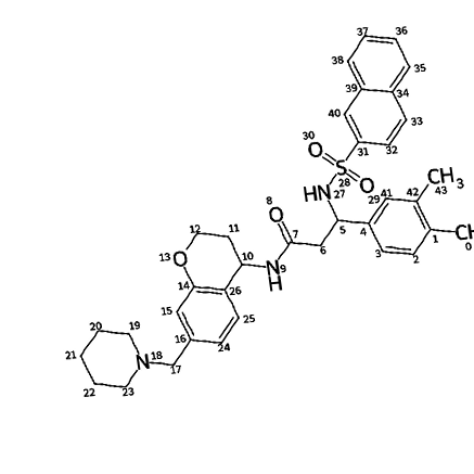 Cc1ccc(C(CC(=O)NC2CCOc3cc(CN4CCCCC4)ccc32)NS(=O)(=O)c2ccc3ccccc3c2)cc1C